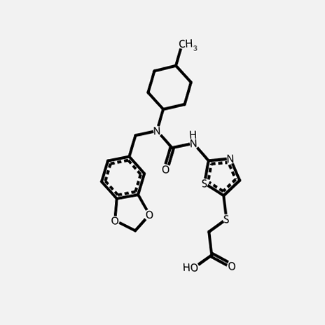 CC1CCC(N(Cc2ccc3c(c2)OCO3)C(=O)Nc2ncc(SCC(=O)O)s2)CC1